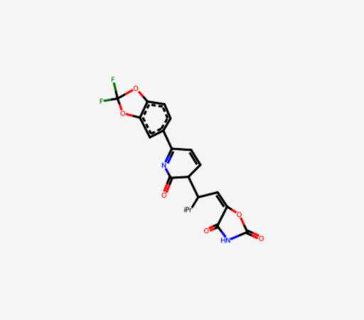 CC(C)C(C=C1OC(=O)NC1=O)C1C=CC(c2ccc3c(c2)OC(F)(F)O3)=NC1=O